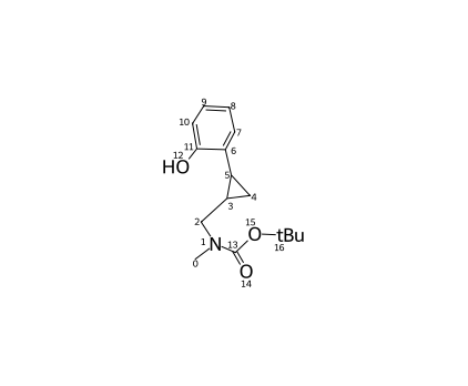 CN(CC1CC1c1ccccc1O)C(=O)OC(C)(C)C